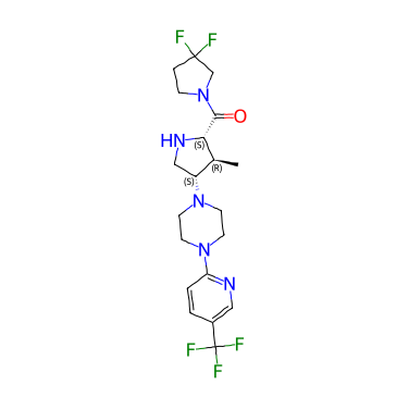 C[C@@H]1[C@@H](C(=O)N2CCC(F)(F)C2)NC[C@H]1N1CCN(c2ccc(C(F)(F)F)cn2)CC1